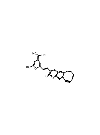 CC(C)(C)C1=CC(=C(C#N)C#N)C=C(/C=C/c2cc3cc4c(cc3oc2=O)C#C/C=C\CC4)O1